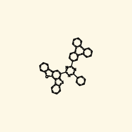 c1ccc(-c2nc(-c3ccc4c5ccccc5c5ccccc5c4c3)nc(-c3cc4c5ccccc5oc4c4c3sc3ccccc34)n2)cc1